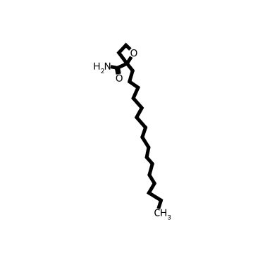 CCCCCCCCCCCCCCCCC1(C(N)=O)CCO1